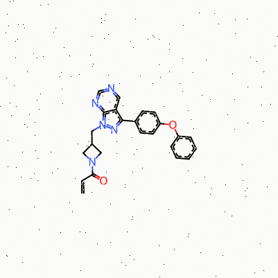 C=CC(=O)N1CC(Cn2nc(-c3ccc(Oc4ccccc4)cc3)c3cncnc32)C1